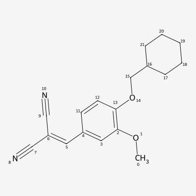 COc1cc(C=C(C#N)C#N)ccc1OCC1CCCCC1